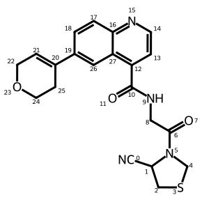 N#CC1CSCN1C(=O)CNC(=O)c1ccnc2ccc(C3=CCOCC3)cc12